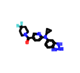 O=C(c1ccc(N(c2ccc3c(c2)NNN3)C2CC2)nc1)N1CCC(F)(F)CC1